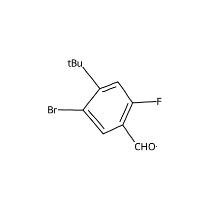 CC(C)(C)c1cc(F)c([C]=O)cc1Br